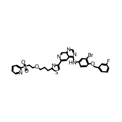 O=S(=O)(CCOCCCc1nc(-c2cc3c(Nc4ccc(OCc5cccc(F)c5)c(Br)c4)ncnc3cn2)cs1)c1ccccn1